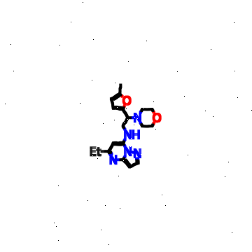 CCc1cc(NCC(c2ccc(C)o2)N2CCOCC2)n2nccc2n1